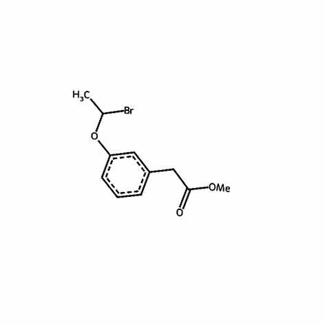 COC(=O)Cc1cccc(OC(C)Br)c1